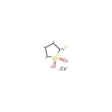 O=S1(=O)CCCC1.[Cs+].[F-]